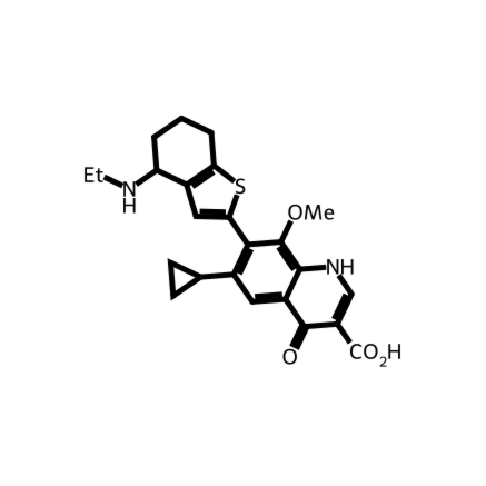 CCNC1CCCc2sc(-c3c(C4CC4)cc4c(=O)c(C(=O)O)c[nH]c4c3OC)cc21